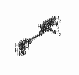 NCCCN1CCN(c2nc(Nc3ccc(CC(CN(CCN)CC(=O)O)N(CCN)CC(=O)O)cc3)nc(N3CCN(CCCCCCCCCCC(=O)NCCCC[C@H](NC(=O)N[C@@H](CCC(=O)O)C(=O)O)C(=O)O)CC3)n2)CC1